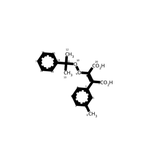 Cc1cccc(C(C(=O)O)=C(OOC(C)(C)c2ccccc2)C(=O)O)c1